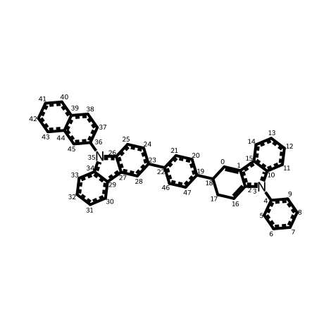 C1=c2c(n(-c3ccccc3)c3ccccc23)=CCC1c1ccc(-c2ccc3c(c2)c2ccccc2n3-c2ccc3ccccc3c2)cc1